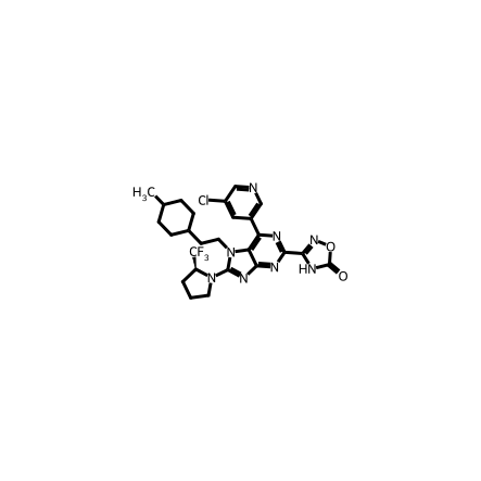 CC1CCC(CCn2c(N3CCC[C@H]3C(F)(F)F)nc3nc(-c4noc(=O)[nH]4)nc(-c4cncc(Cl)c4)c32)CC1